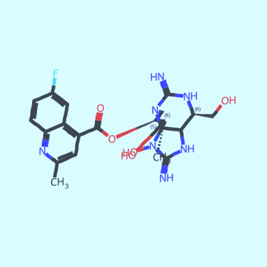 Cc1cc(C(=O)O[C@H]2CN3C(=N)N[C@@H](CO)C4NC(=N)N(O)C43[C@@]2(C)O)c2cc(F)ccc2n1